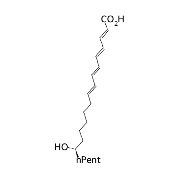 CCCCC[C@@H](O)CCCCCC=CC=CC=CC=CC(=O)O